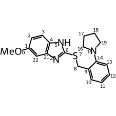 COc1ccc2[nH]c(SCc3ccccc3N3CCCC3)nc2c1